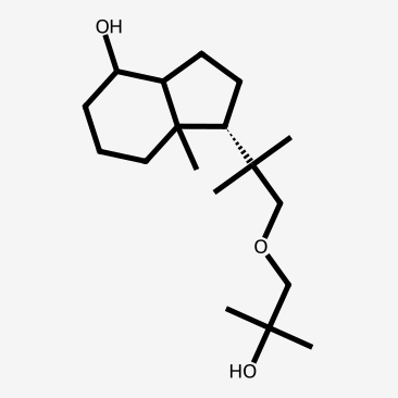 CC(C)(O)COCC(C)(C)[C@H]1CCC2C(O)CCCC21C